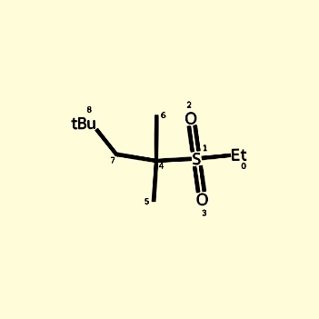 CCS(=O)(=O)C(C)(C)CC(C)(C)C